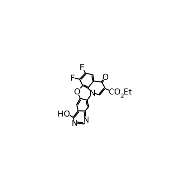 CCOC(=O)c1cn2c3c(c(F)c(F)cc3c1=O)Oc1cc3c(O)ncnc3cc1-2